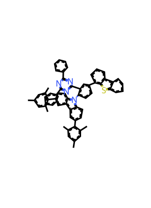 Cc1cc(C)c(-c2ccc3c(c2)c2cc(-c4c(C)cc(C)cc4C)ccc2n3-c2ccc(-c3cccc4c3sc3ccccc34)cc2-c2nc(-c3ccccc3)nc(-c3ccccc3)n2)c(C)c1